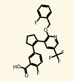 O=C(O)c1cc(C2=C(c3cc(C(F)(F)F)cnc3OCc3ccccc3F)CCC2)ccc1F